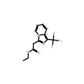 CCOC(=O)Cc1nc(C(F)(F)F)c2ccccn12